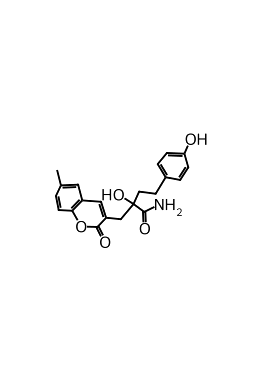 Cc1ccc2oc(=O)c(CC(O)(CCc3ccc(O)cc3)C(N)=O)cc2c1